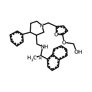 C[C@@H](NCC1CN(Cc2ccc(OCO)o2)CCC1c1ccccc1)c1cccc2ccccc12